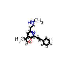 CNCCc1cc2c(c(C#Cc3ccccc3)n1)OCC2C